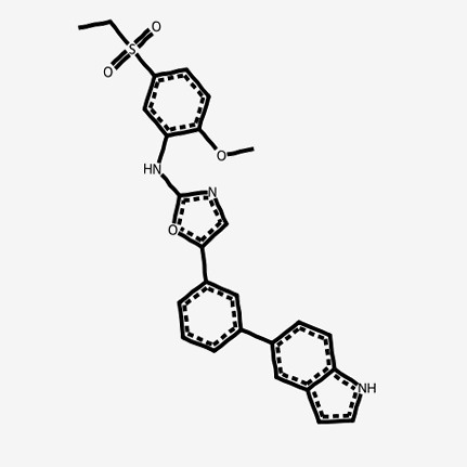 CCS(=O)(=O)c1ccc(OC)c(Nc2ncc(-c3cccc(-c4ccc5[nH]ccc5c4)c3)o2)c1